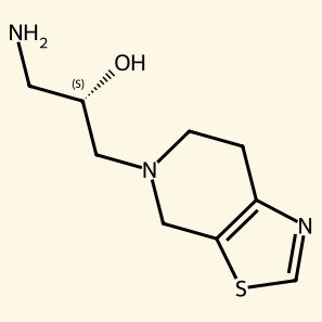 NC[C@H](O)CN1CCc2ncsc2C1